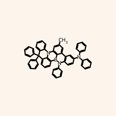 Cc1cc2c3c(c1)N1c4ccccc4C(c4ccccc4)(c4ccccc4)c4cccc(c41)B3N(c1ccccc1)c1ccc(N(c3ccccc3)c3ccccc3)cc1-2